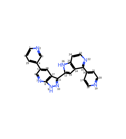 c1cncc(-c2cnc3[nH]nc(-c4cc5c(-c6ccncc6)nccc5[nH]4)c3c2)c1